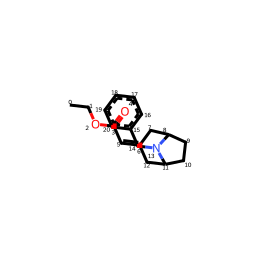 CCOC(=O)C=C1CC2CCC(C1)N2Cc1ccccc1